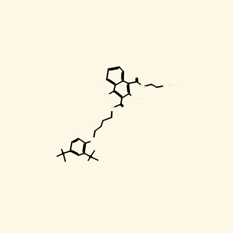 CCC(C)(C)c1ccc(OCCCCNC(=O)c2c(OC)c(C(=O)NCCOC)c3ccccc3c2O)c(C(C)(C)CC)c1